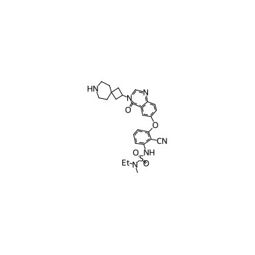 CCN(C)S(=O)(=O)Nc1cccc(Oc2ccc3ncn(C4CC5(CCNCC5)C4)c(=O)c3c2)c1C#N